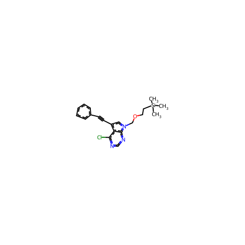 C[Si](C)(C)CCOCn1cc(C#Cc2ccccc2)c2c(Cl)ncnc21